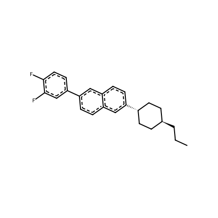 CCC[C@H]1CC[C@H](c2ccc3cc(-c4ccc(F)c(F)c4)ccc3c2)CC1